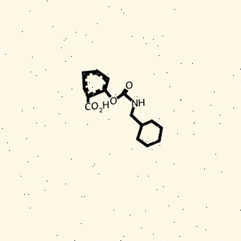 O=C(NCC1CCCCC1)Oc1ccccc1C(=O)O